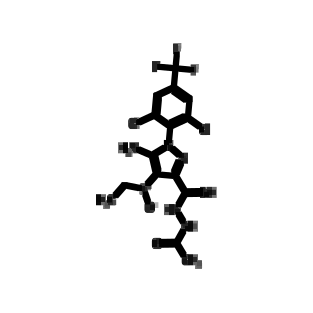 CC[S+]([O-])c1c(C(=N)NNC(C)=O)nn(-c2c(Cl)cc(C(F)(F)F)cc2Cl)c1N